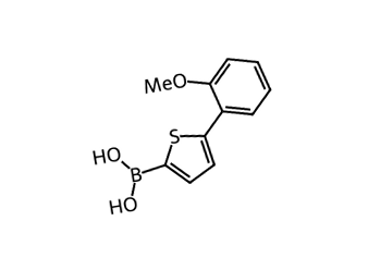 COc1ccccc1-c1ccc(B(O)O)s1